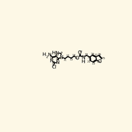 Nc1nc(Cl)nc2c1NCN2CCCCOC(=O)NCc1ccc2occc2c1